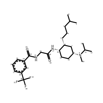 CC(C)CCC[C@@H]1C[C@H](N(C)C(C)C)CC[C@@H]1NC(=O)CNC(=O)c1cccc(C(F)(F)F)c1